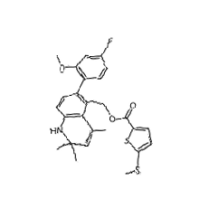 COc1cc(F)ccc1-c1ccc2c(c1COC(=O)c1ccc(SC)s1)C(C)=CC(C)(C)N2